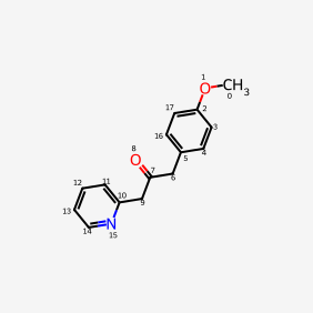 COc1ccc(CC(=O)Cc2ccccn2)cc1